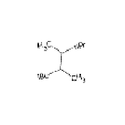 [CH2]CC(C)C(C)C(C)CCC